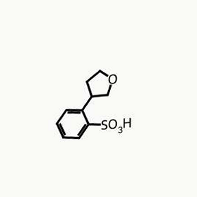 O=S(=O)(O)c1ccccc1C1CCOC1